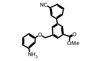 COC(=O)c1cc(COc2cccc(N)c2)cc(-c2cccc(C#N)c2)c1